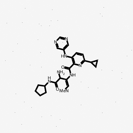 CN/C=C(/NC(=O)c1nc(C2CC2)ccc1Nc1cncnc1)C(N)C(=O)NC1CCCC1